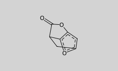 O=C1Oc2cc3oc2C1C3